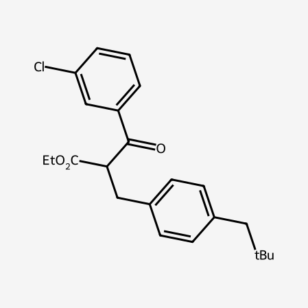 CCOC(=O)C(Cc1ccc(CC(C)(C)C)cc1)C(=O)c1cccc(Cl)c1